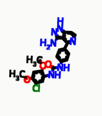 COc1cc(OC)c(NC(=O)Nc2ccc(-c3nccc4[nH]nc(N)c34)cc2)cc1Cl